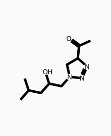 CC(=O)C1CN(CC(O)CC(C)C)N=N1